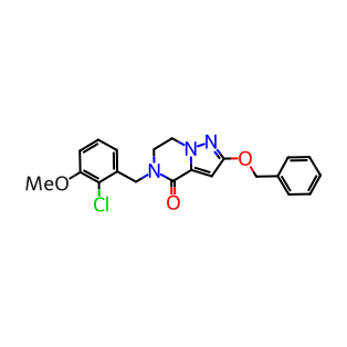 COc1cccc(CN2CCn3nc(OCc4ccccc4)cc3C2=O)c1Cl